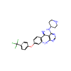 N=C(c1ccc(Oc2ccc(C(F)(F)F)cc2)cc1)c1c(N)ncnc1NC1CCNCC1